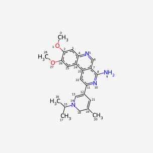 COc1cc2ncc3c(N)nc(C4=CN(C(C)C)CC(C)=C4)cc3c2cc1OC